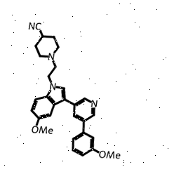 COc1cccc(-c2cncc(-c3cn(CCN4CCC(C#N)CC4)c4ccc(OC)cc34)c2)c1